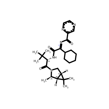 C[C@@H]1[C@@H]2[C@H](CN1C(=O)[C@@H](NC(=O)/C(=N/C(=O)c1cnccn1)C1CCCCC1)C(C)(C)C)C2(C)C